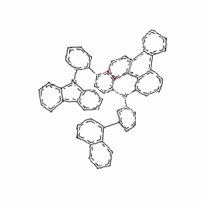 c1cc(-c2cccc3ccccc23)cc(N(c2ccc(-c3ccccc3-n3c4ccccc4c4ccccc43)cc2)c2cccc3c4ccccc4c4ccccc4c23)c1